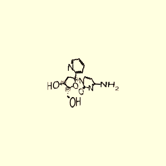 Nc1ccn([C@@]2(c3ccccn3)C[C@H](O)[C@@H](CO)O2)c(=O)n1